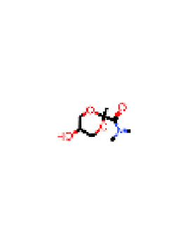 CN(C)C(=O)C1(C)OCC(O)CO1